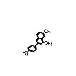 COc1ccc(-c2cc(O)c3cc(OC)ccc3c2)cc1